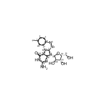 Cc1ccc(/N=N\c2nc3c(=O)[nH]c(N)nc3n2[C@@H]2O[C@H](CO)[C@H](O)C2O)cc1